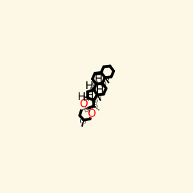 C[C@H]1CC[C@]2(OC1)O[C@H]1C[C@H]3[C@@H]4CC=C5CCCC[C@]5(C)[C@H]4CC[C@]3(C)[C@H]1[C@@H]2C